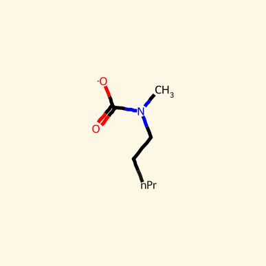 CCCCCN(C)C([O])=O